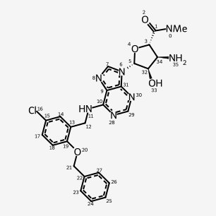 CNC(=O)[C@H]1O[C@@H](n2cnc3c(NCc4cc(Cl)ccc4OCc4ccccc4)ncnc32)[C@H](O)[C@@H]1N